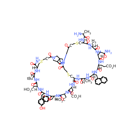 C[C@H](N)C(=O)N[C@H]1CSCCC(=O)N2CC34CN5CC3(C2)CN(C4)C(=O)CCSC[C@@H](NC(=O)[C@@H](C)NC(=O)[C@H](Cc2cccc3ccccc23)NC(=O)[C@H](CCC(=O)O)NC(=O)[C@H](CC(N)=O)NC(=O)[C@@H](C)NC1=O)C(=O)N[C@@H](CCC(=O)O)C(=O)NC(CC(=O)O)C(=O)N[C@@H](Cc1ccccc1)C(=O)N[C@@H](Cc1ccc(O)cc1)C(=O)N[C@@H](CC(=O)O)C(=O)N[C@@H](C(C)(C)C)C(=O)N[C@H](C(N)=O)CSCCC5=O